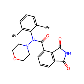 CC(C)c1cccc(C(C)C)c1N(C(=O)c1cccc2c1C(=O)NC2=O)N1CCOCC1